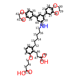 O=C(O)CCCOc1cccc(CCCCCCNc2cc(-c3ccc4c(c3)OCCO4)cc(-c3ccc4c(c3)OCCO4)c2)c1CCC(=O)O